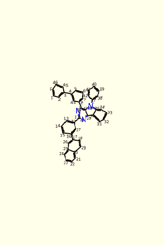 c1ccc(-c2cccc(-c3nc(-c4cccc(-c5ccc6ccccc6c5)c4)nc4c5ccccc5n(-c5ccccc5)c34)c2)cc1